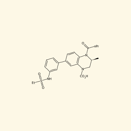 CCCC(=O)N1c2ccc(-c3cccc(NS(=O)(=O)CC)c3)cc2N(C(=O)O)C[C@@H]1C